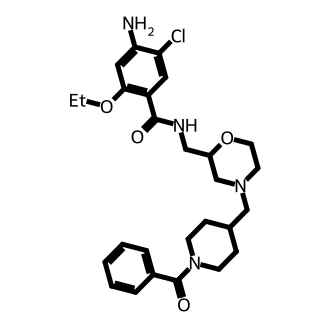 CCOc1cc(N)c(Cl)cc1C(=O)NCC1CN(CC2CCN(C(=O)c3ccccc3)CC2)CCO1